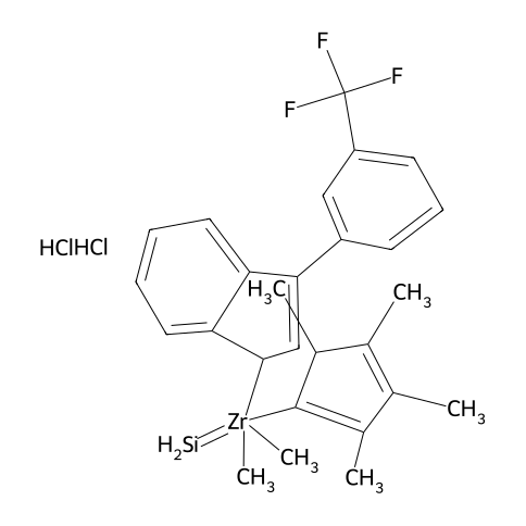 CC1=C(C)C(C)[C]([Zr]([CH3])([CH3])(=[SiH2])[CH]2C=C(c3cccc(C(F)(F)F)c3)c3ccccc32)=C1C.Cl.Cl